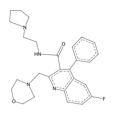 O=C(NCCN1CCCC1)c1c(CN2CCOCC2)nc2ccc(F)cc2c1-c1ccccc1